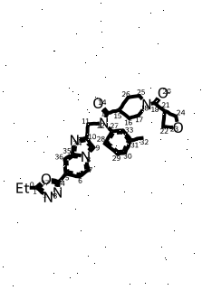 CCc1nnc(-c2ccn3cc(CN(C(=O)C4CCN(C(=O)C5COC5)CC4)c4cccc(C)c4)nc3c2)o1